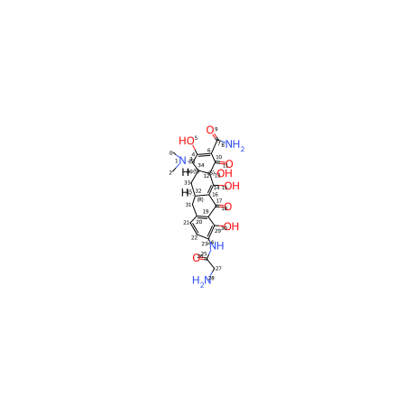 CN(C)[C@@H]1C(O)=C(C(N)=O)C(=O)[C@@]2(O)C(O)=C3C(=O)c4c(ccc(NC(=O)CN)c4O)C[C@H]3C[C@@H]12